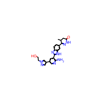 CC1CC(=O)NN=C1c1ccc2nc(-c3cc(-c4cnn(CCO)c4)cnc3N)[nH]c2c1